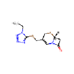 O=C(O)Cn1nnnc1SCC1=CN2C(=O)C[C@H]2SC1